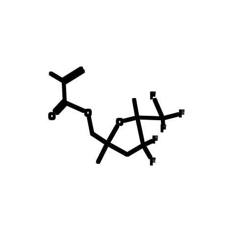 C=C(C)C(=O)OCC1(C)CC(F)(F)C(C)(C(F)(F)F)O1